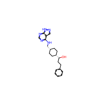 OC(CCc1ccccc1)[C@H]1CC[C@@H](CNc2ncnc3[nH]ncc23)CC1